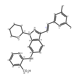 Cc1cc(C)nc(/C=C/c2nn(C3CCCCO3)c3cc(Nc4ncccc4C(=O)O)ccc23)c1